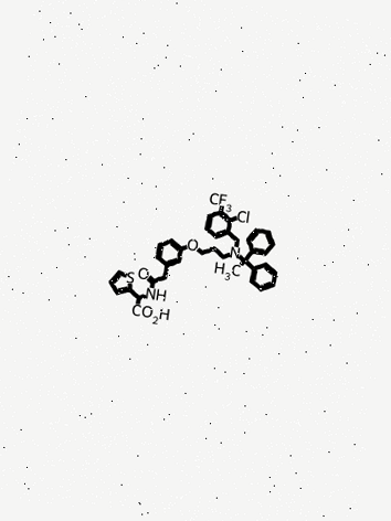 CC(c1ccccc1)(c1ccccc1)N(CCCOc1cccc(CC(=O)NC(C(=O)O)c2cccs2)c1)Cc1cccc(C(F)(F)F)c1Cl